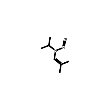 CC(C)=CN(N=N)C(C)C